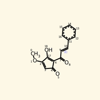 COC1=CC(=O)C(C(=O)/C=C/c2ccccc2)=C1O